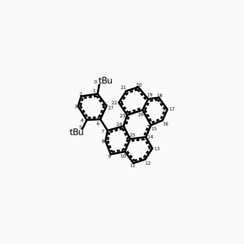 CC(C)(C)c1ccc(C(C)(C)C)c(-c2ccc3cccc4c5cccc6cccc(c2c34)c65)c1